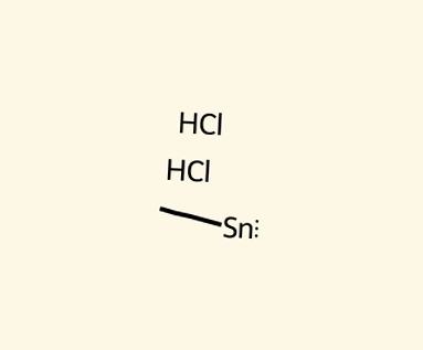 Cl.Cl.[CH3][Sn]